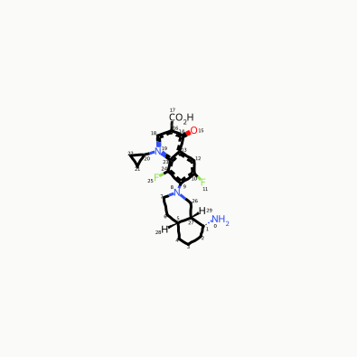 N[C@@H]1CCC[C@@H]2CCN(c3c(F)cc4c(=O)c(C(=O)O)cn(C5CC5)c4c3F)C[C@@H]21